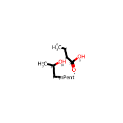 CCCC(=O)O.CCCCCCC(C)O